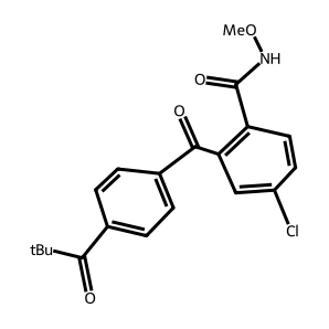 CONC(=O)c1ccc(Cl)cc1C(=O)c1ccc(C(=O)C(C)(C)C)cc1